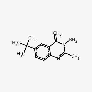 BN1C(=C)c2cc(C(C)(C)C)ccc2N=C1C